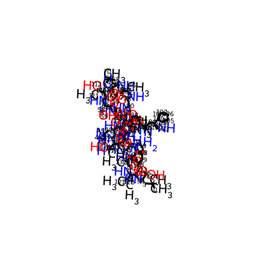 CC(C)C[C@H](NC(=O)[C@@H](NC(=O)[C@H](C)NC(=O)[C@@H]1CCCN1C(=O)[C@H](Cc1ccccc1)NC(=O)[C@@H](NC(=O)[C@H](Cc1c[nH]cn1)NC(=O)[C@@H](NC(=O)CNC(=O)[C@H](CO)NC(=O)[C@@H](NC(=O)[C@H](CC(C)C)NC(=O)[C@H](C)NC(=O)CNC(=O)[C@H](CO)NC(=O)[C@H](CC(N)=O)NC(=O)[C@@H](N)Cc1c[nH]c2ccccc12)[C@@H](C)O)C(C)C)[C@@H](C)O)C(C)C)C(=O)O